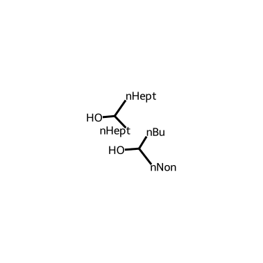 CCCCCCCC(O)CCCCCCC.CCCCCCCCCC(O)CCCC